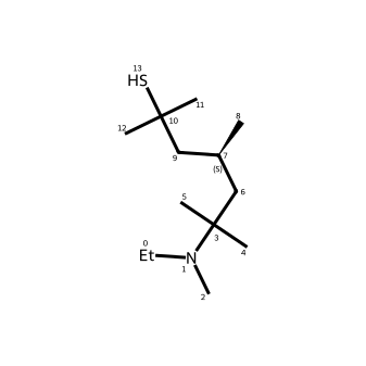 CCN(C)C(C)(C)C[C@H](C)CC(C)(C)S